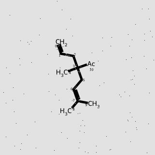 C=CCC(C)(CC=C(C)C)C(C)=O